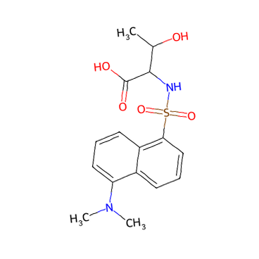 CC(O)C(NS(=O)(=O)c1cccc2c(N(C)C)cccc12)C(=O)O